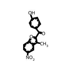 Cc1c(C(=O)c2ccc(O)cc2)oc2ccc([N+](=O)[O-])cc12